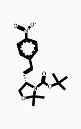 CC(C)(C)OC(=O)N1[C@@H](/C=C/c2ccc([N+](=O)[O-])cc2)COC1(C)C